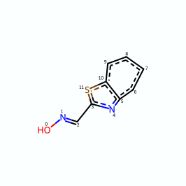 ON=Cc1nc2ccccc2s1